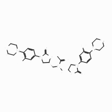 CC(=O)N(C[C@@H]1CN(c2ccc(N3CCOCC3)c(F)c2)C(=O)O1)C[C@H]1CN(c2ccc(N3CCOCC3)c(F)c2)C(=O)O1